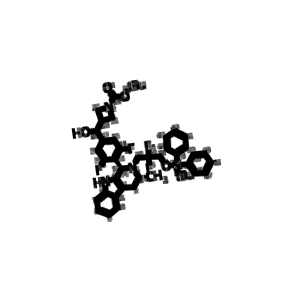 C[C@@H]1Cc2c([nH]c3ccccc23)[C@@H](c2c(F)cc(C(O)C3CN(C(=O)OC(C)(C)C)C3)cc2F)N1CC(F)(F)CO[Si](c1ccccc1)(c1ccccc1)C(C)(C)C